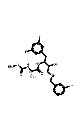 CCCC[C@H](NC(=O)OC(C)(C)C)C(=O)NC(Cc1cc(F)cc(F)c1)C(O)CNCc1cccc(CC)c1